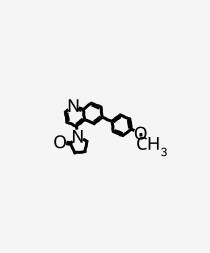 COc1ccc(-c2ccc3nccc(N4CCCC4=O)c3c2)cc1